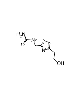 NC(=O)NCc1nc(CCO)cs1